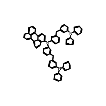 c1ccc(N(c2ccccc2)c2cccc(Cc3cccc(N(c4cccc(Cc5cccc(N(c6ccccc6)c6ccccc6)c5)c4)c4ccc5c6cccc7cccc(c8cccc4c85)c76)c3)c2)cc1